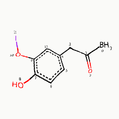 BC(=O)Cc1ccc(O)c(OI)c1